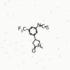 CN1CC(c2cc(N=C=S)cc(C(F)(F)F)c2)CC1=O